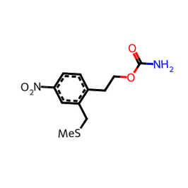 CSCc1cc([N+](=O)[O-])ccc1CCOC(N)=O